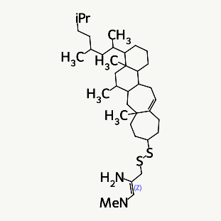 CN/C=C(\N)CSSC1CCC2=CCC3C(CC2(C)CC1)C(C)CC1(C)C(C(C)CC(C)CCC(C)C)CCCC31